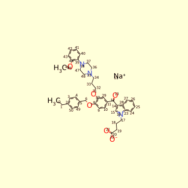 CCc1ccc(COc2ccc(C(=O)c3cn(CCCC(=O)[O-])c4ccccc34)cc2OCCCN2CCN(c3ccccc3OC)CC2)cc1.[Na+]